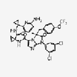 C[C@@]1(Cc2ccc(OC(F)(F)F)cc2)C(=O)N(c2cc(Cl)cc(Cl)c2)c2ncc(C(=O)NC3(C(=O)NC4(c5cccc(N)n5)CC4)CC3)n21